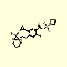 O=C(NS(=O)(=O)N1CCC1)c1cc(C2CC2)c(OC[C@@]23CCCC[C@@H]2C3(F)F)cc1F